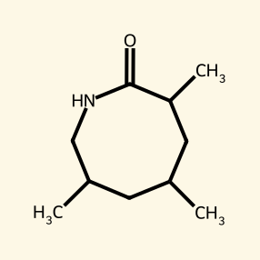 CC1CNC(=O)C(C)CC(C)C1